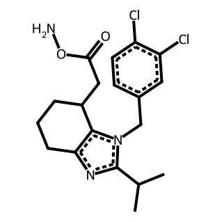 CC(C)c1nc2c(n1Cc1ccc(Cl)c(Cl)c1)C(CC(=O)ON)CCC2